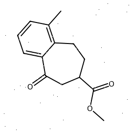 COC(=O)C1CCc2c(C)cccc2C(=O)C1